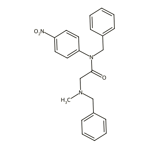 CN(CC(=O)N(Cc1ccccc1)c1ccc([N+](=O)[O-])cc1)Cc1ccccc1